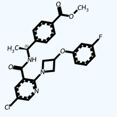 COC(=O)c1ccc([C@H](C)NC(=O)c2cc(Cl)cnc2N2CC(Oc3cccc(F)c3)C2)cc1